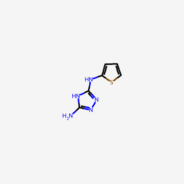 Nc1nnc(Nc2cccs2)[nH]1